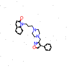 O=c1ccc2ccccc2n1CCCN1CCN(Cc2nocc2-c2ccccc2)CC1